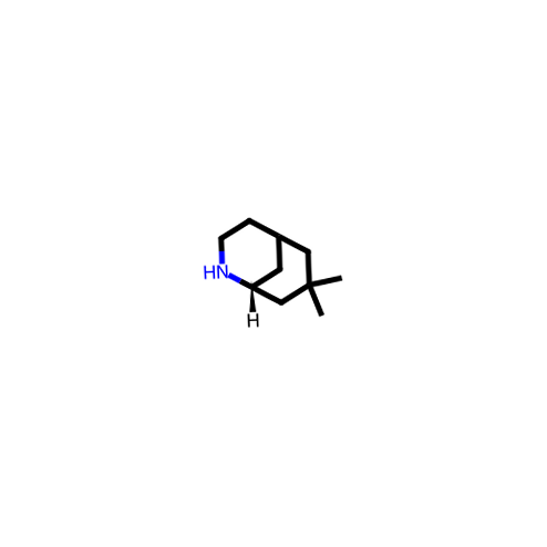 CC1(C)CC2CCN[C@H](C2)C1